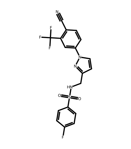 N#Cc1ccc(-n2ccc(CNS(=O)(=O)c3ccc(F)cc3)n2)cc1C(F)(F)F